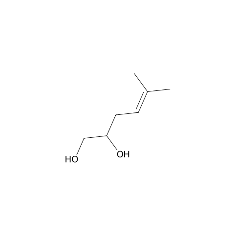 CC(C)=CCC(O)CO